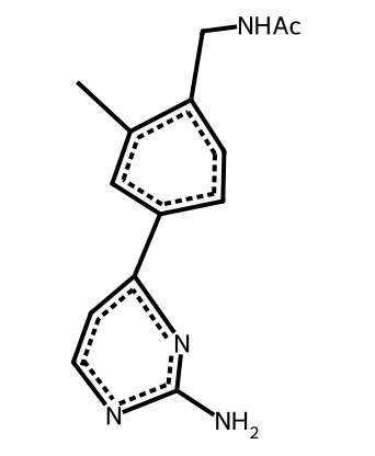 CC(=O)NCc1ccc(-c2ccnc(N)n2)cc1C